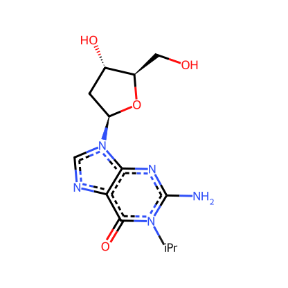 CC(C)n1c(N)nc2c(ncn2[C@H]2C[C@H](O)[C@@H](CO)O2)c1=O